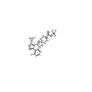 Cc1cccc2c1-c1noc(C3CC3)c1C1OC3(CCN(C(=O)OC(C)(C)C)CC3)CC21